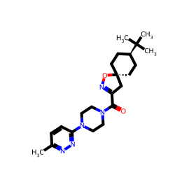 Cc1ccc(N2CCN(C(=O)C3=NO[C@]4(CC[C@H](C(C)(C)C)CC4)C3)CC2)nn1